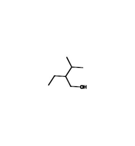 CCC(CO)C(C)C